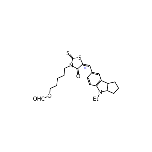 CCN1c2ccc(/C=C3/SC(=S)N(CCCCCOC=O)C3=O)cc2C2CCCC21